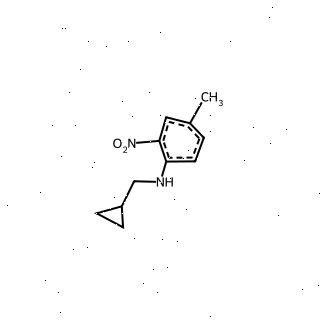 Cc1ccc(NCC2CC2)c([N+](=O)[O-])c1